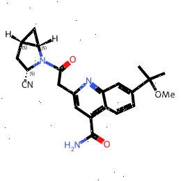 COC(C)(C)c1ccc2c(C(N)=O)cc(CC(=O)N3[C@H](C#N)C[C@@H]4C[C@@H]43)nc2c1